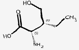 CC[C@@H](CO)[C@H](N)C(=O)O